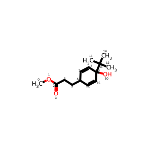 COC(=O)CCC1C=CC(O)(C(C)(C)C)C=C1